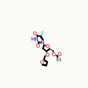 CCC(=O)OC[C@@H]1O[C@H](n2cc(F)c(=O)[nH]c2=O)CC1OCc1ccco1